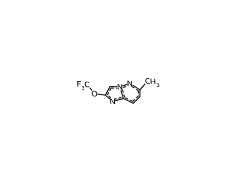 Cc1ccc2nc(OC(F)(F)F)cn2n1